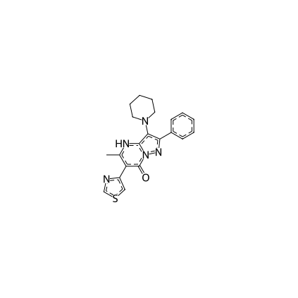 Cc1[nH]c2c(N3CCCCC3)c(-c3ccccc3)nn2c(=O)c1-c1cscn1